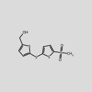 CS(=O)(=O)c1ccc(Sc2ccc(CO)s2)s1